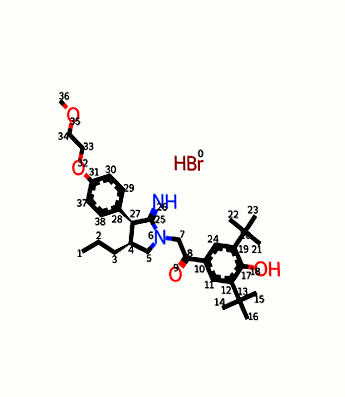 Br.CCC[C@@H]1CN(CC(=O)c2cc(C(C)(C)C)c(O)c(C(C)(C)C)c2)C(=N)[C@@H]1c1ccc(OCCOC)cc1